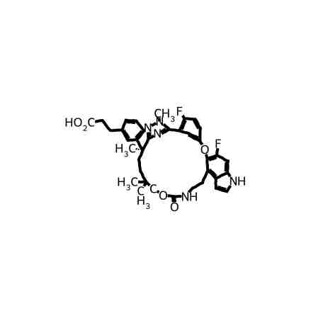 Cn1nc2nc1-c1cc(ccc1F)Oc1c(F)cc3[nH]ccc3c1CCNC(=O)OCC(C)(C)CC[C@@]2(C)c1cccc(CCC(=O)O)c1